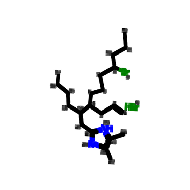 Br.C=CCC(CCCC(Br)CCC)C(CCCC)Cc1nc(C)c(C)[nH]1